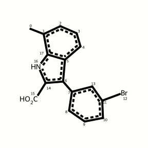 Cc1cccc2c(-c3cccc(Br)c3)c(C(=O)O)[nH]c12